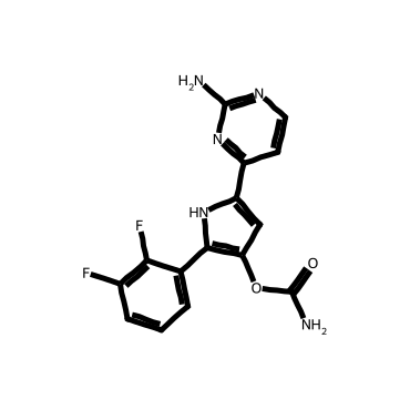 NC(=O)Oc1cc(-c2ccnc(N)n2)[nH]c1-c1cccc(F)c1F